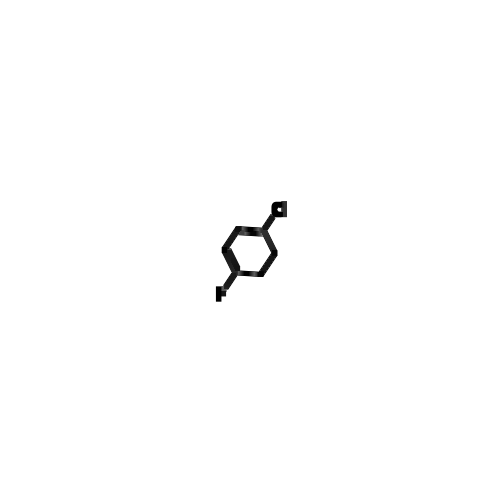 FC1=CC=C(Cl)CC1